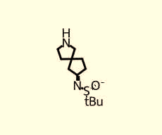 CC(C)(C)[S@@+]([O-])/N=C1\CCC2(CCNC2)C1